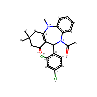 CC(=O)N1c2ccccc2N(C)C2=C(C(=O)CC(C)(C)C2)C1c1ccc(Cl)cc1Cl